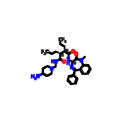 CN1C(=O)[C@@H](NC(=O)[C@@H](CCC(F)(F)F)[C@@H](CCC(F)(F)F)C(=O)NCN2CCC(N)CC2)N=C(c2ccccc2)c2ccccc21